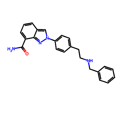 NC(=O)c1cccc2cn(-c3ccc(CCNCc4ccccc4)cc3)nc12